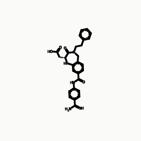 N=C(N)c1ccc(NC(=O)c2ccc3c(c2)N[C@H](CC(=O)O)C(=O)N(CCc2ccccc2)C3)cc1